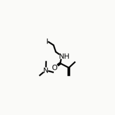 C=C(C)C(=O)NCCI.CN(C)C